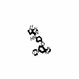 c1nc2c(c(N[C@H]3CC[C@@H](Oc4cc(N5CCOCC5)cc5nccnc45)CC3)n1)CCN2